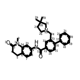 CN1C(=O)CCc2ccc(NC(=O)c3ccc(-c4ccccc4)c(CN4CCC(C)(C)C4)c3)cc21